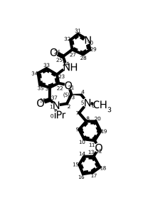 CC(C)N1C[C@H](CN(C)Cc2ccc(Oc3ccccc3)cc2)Oc2c(NC(=O)c3ccncc3)cccc2C1=O